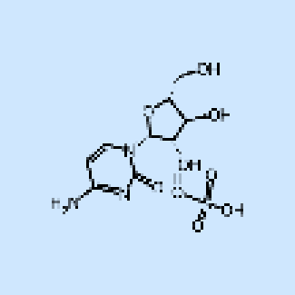 Nc1ccn([C@@H]2O[C@H](CO)[C@@H](O)[C@@H]2O)c(=O)n1.O=S(=O)(O)O